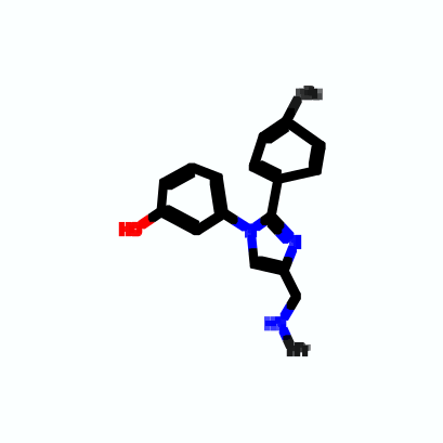 CCCCc1ccc(-c2nc(CNCCC)cn2-c2cccc(O)c2)cc1